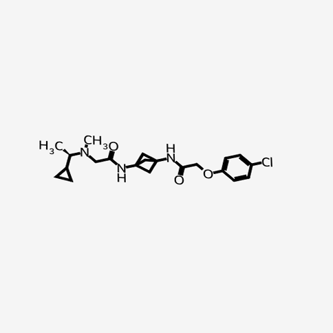 C[C@H](C1CC1)N(C)CC(=O)NC12CC(NC(=O)COc3ccc(Cl)cc3)(C1)C2